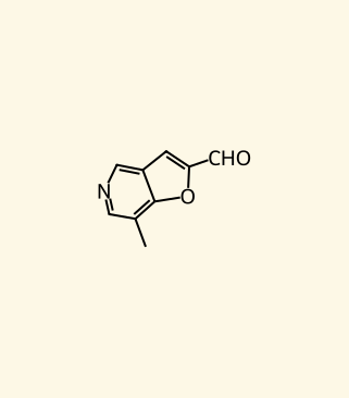 Cc1cncc2cc(C=O)oc12